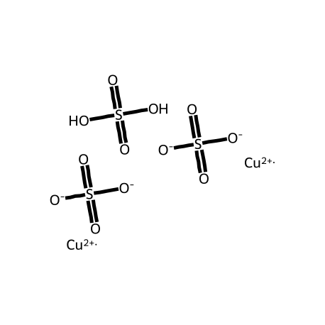 O=S(=O)(O)O.O=S(=O)([O-])[O-].O=S(=O)([O-])[O-].[Cu+2].[Cu+2]